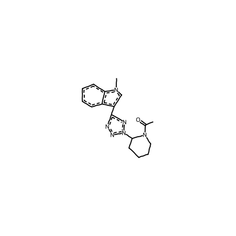 CC(=O)N1CCCCC1n1nnc(-c2cn(C)c3ccccc23)n1